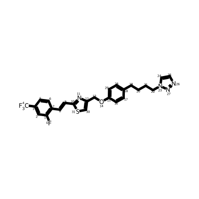 Fc1cc(C(F)(F)F)ccc1C=Cc1nc(COc2ccc(CCCCn3ccnn3)cc2)cs1